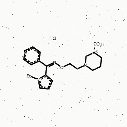 CCn1cccc1C(=NOCCN1CCC[C@@H](C(=O)O)C1)c1ccccc1.Cl